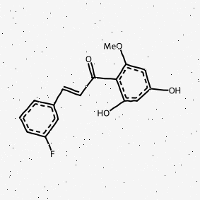 COc1cc(O)cc(O)c1C(=O)/C=C/c1cccc(F)c1